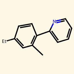 CCc1ccc(-c2ccccn2)c(C)c1